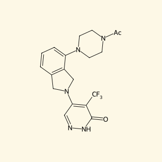 CC(=O)N1CCN(c2cccc3c2CN(c2cn[nH]c(=O)c2C(F)(F)F)C3)CC1